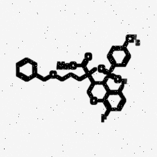 COC(=O)C(C)(CCCOCc1ccccc1)C1COc2c(F)ccc(F)c2C1S(=O)(=O)c1ccc(C(F)(F)F)cc1